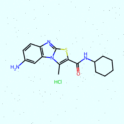 Cc1c(C(=O)NC2CCCCC2)sc2nc3ccc(N)cc3n12.Cl